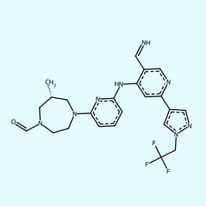 C[C@H]1CN(C=O)CCN(c2cccc(Nc3cc(-c4cnn(CC(F)(F)F)c4)ncc3C=N)n2)C1